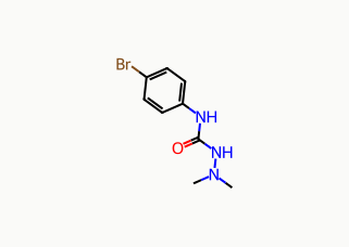 CN(C)NC(=O)Nc1ccc(Br)cc1